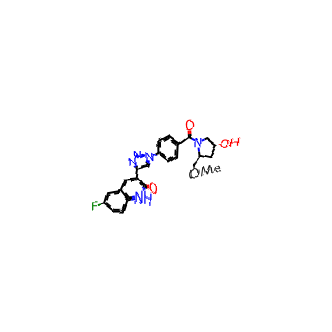 COC[C@@H]1C[C@@H](O)CN1C(=O)c1ccc(-n2cc(-c3cc4cc(F)ccc4[nH]c3=O)nn2)cc1